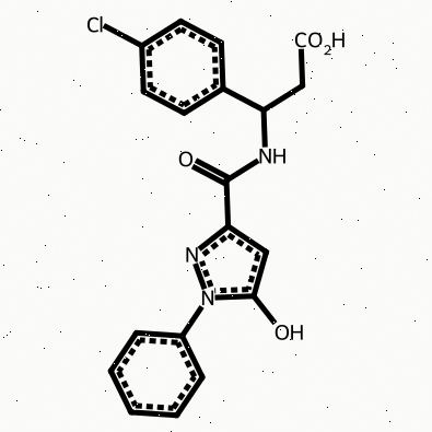 O=C(O)CC(NC(=O)c1cc(O)n(-c2ccccc2)n1)c1ccc(Cl)cc1